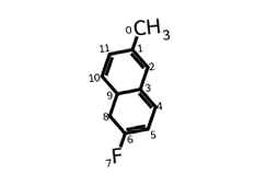 CC1=CC2=CC=C(F)CC2C=C1